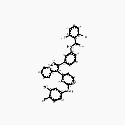 N#Cc1cc(Nc2nccc(-c3c(-c4cccc(NC(=O)c5c(F)cccc5F)c4)nn4ccccc34)n2)ccc1F